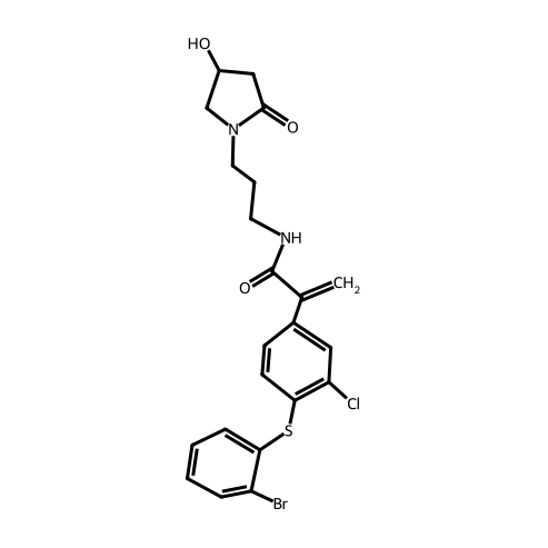 C=C(C(=O)NCCCN1CC(O)CC1=O)c1ccc(Sc2ccccc2Br)c(Cl)c1